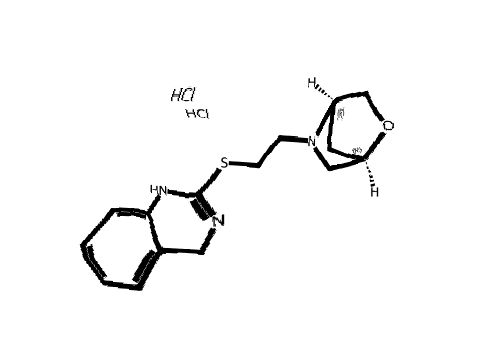 Cl.Cl.c1ccc2c(c1)CN=C(SCCN1C[C@H]3C[C@@H]1CO3)N2